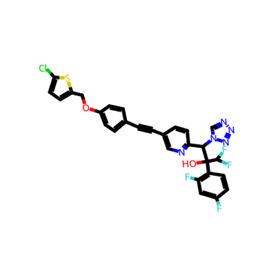 OC(c1ccc(F)cc1F)(C(F)F)C(c1ccc(C#Cc2ccc(OCc3ccc(Cl)s3)cc2)cn1)n1cnnn1